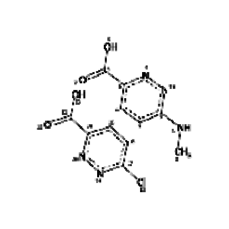 CNc1ccc(C(=O)O)nn1.O=C(O)c1ccc(Cl)nn1